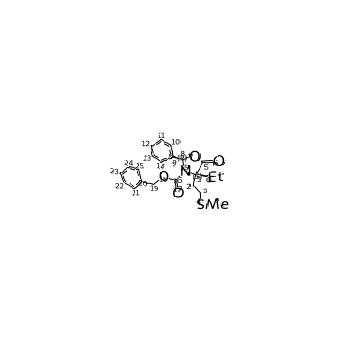 CC[C@]1(CCSC)C(=O)O[C@H](c2ccccc2)N1C(=O)OCc1ccccc1